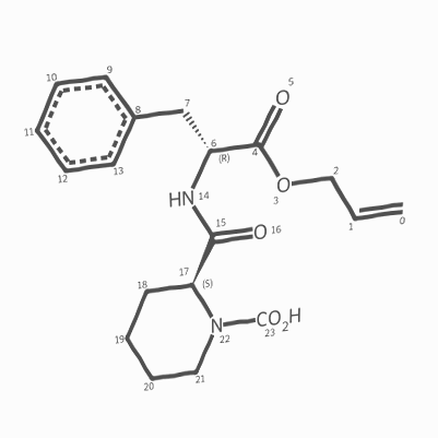 C=CCOC(=O)[C@@H](Cc1ccccc1)NC(=O)[C@@H]1CCCCN1C(=O)O